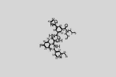 CCCN(CCC)C(=O)c1cc(C(=O)N[C@@H](Cc2cc(F)cc(F)c2)[C@H](O)CNCc2ccnc(CC)c2)cc(-c2ncco2)c1